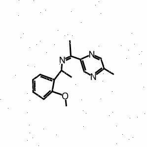 COc1ccccc1C(C)N=C(C)c1cnc(C)cn1